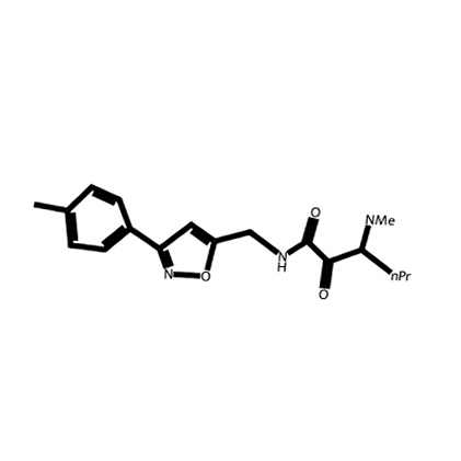 CCCC(NC)C(=O)C(=O)NCc1cc(-c2ccc(C)cc2)no1